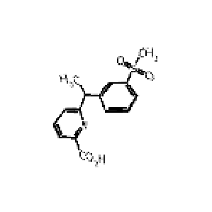 CC(c1cccc(S(C)(=O)=O)c1)c1cccc(C(=O)O)n1